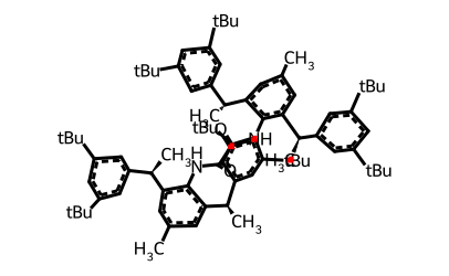 Cc1cc([C@H](C)c2cc(C(C)(C)C)cc(C(C)(C)C)c2)c(NC(=O)C(=O)Nc2c([C@H](C)c3cc(C(C)(C)C)cc(C(C)(C)C)c3)cc(C)cc2[C@H](C)c2cc(C(C)(C)C)cc(C(C)(C)C)c2)c([C@H](C)c2cc(C(C)(C)C)cc(C(C)(C)C)c2)c1